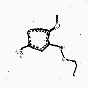 CCONc1cc(N)ccc1OC